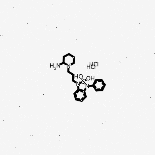 Cl.Cl.NC1CCCCN1CCCN1c2ccccc2N(c2ccccc2)S1(O)O